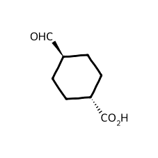 O=C[C@H]1CC[C@H](C(=O)O)CC1